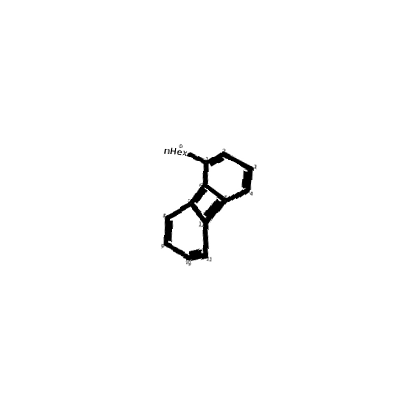 CCCCCCc1cccc2c1=c1ccccc1=2